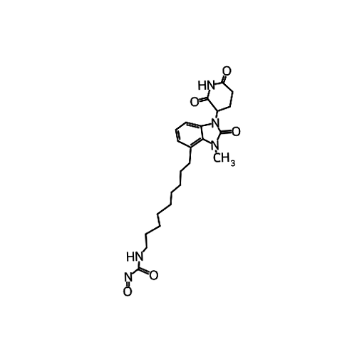 Cn1c(=O)n(C2CCC(=O)NC2=O)c2cccc(CCCCCCCCCNC(=O)N=O)c21